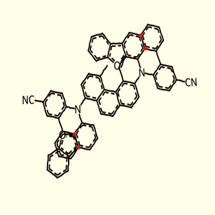 C=Cc1c(N(c2ccc(C#N)cc2-c2ccccc2)c2cccc3c2oc2ccccc23)ccc2ccc3c(N(c4ccc(C#N)cc4-c4ccccc4)c4cccc5c4oc4ccccc45)ccc(C)c3c12